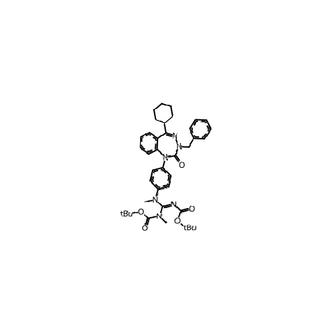 CN(C(=O)OC(C)(C)C)C(=NC(=O)OC(C)(C)C)N(C)c1ccc(N2C(=O)N(Cc3ccccc3)N=C(C3CCCCC3)c3ccccc32)cc1